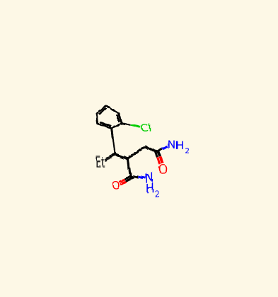 CCC(c1ccccc1Cl)C(CC(N)=O)C(N)=O